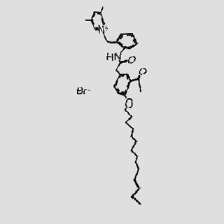 CCCCCCCCCCCCCCOc1ccc(CC(=O)Nc2ccccc2C[n+]2cc(C)cc(C)c2)cc1C(C)=O.[Br-]